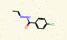 CC=NNC(=O)c1ccc(Cl)cc1